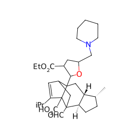 CCOC(=O)C1CC(CN2CCCCC2)OC1C12C[C@@H]3[C@H](C)CC[C@H]3C3(C=O)CC1C=C(C(C)C)C23C(=O)O